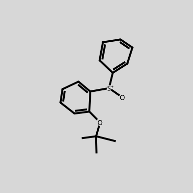 CC(C)(C)Oc1ccccc1[S+]([O-])c1ccccc1